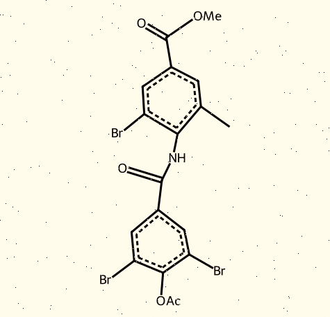 COC(=O)c1cc(C)c(NC(=O)c2cc(Br)c(OC(C)=O)c(Br)c2)c(Br)c1